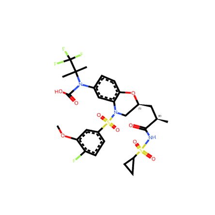 COc1cc(S(=O)(=O)N2C[C@H](C[C@@H](C)C(=O)NS(=O)(=O)C3CC3)Oc3ccc(N(C(=O)O)C(C)(C)C(F)(F)F)cc32)ccc1F